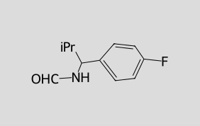 CC(C)C(NC=O)c1ccc(F)cc1